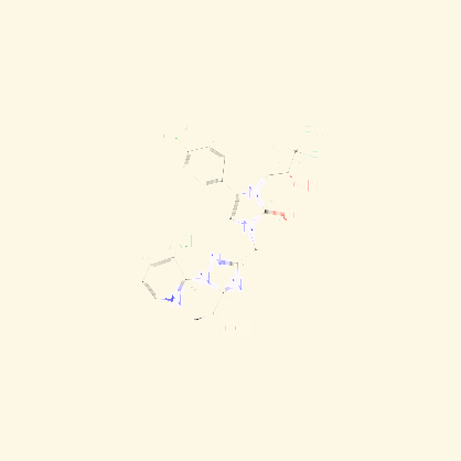 C[C@H](O)c1nc(Cn2cc(-c3ccc(Cl)cc3)n(C[C@H](O)C(F)(F)F)c2=O)nn1-c1ncccc1Cl